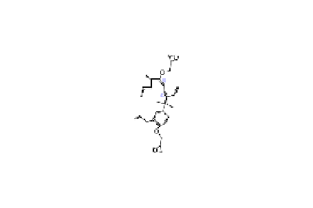 C=CCc1cc(C(C)(C)/C(C=C)=C/C=C(/OCC2CO2)C(C)CC=C)ccc1OCC1CO1